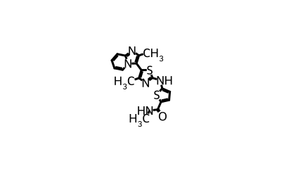 CNC(=O)c1ccc(Nc2nc(C)c(-c3c(C)nc4ccccn34)s2)s1